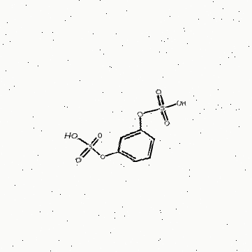 O=S(=O)(O)Oc1cccc(OS(=O)(=O)O)c1